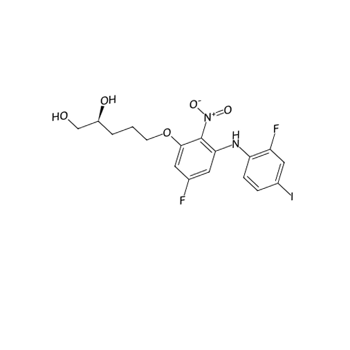 O=[N+]([O-])c1c(Nc2ccc(I)cc2F)cc(F)cc1OCCC[C@H](O)CO